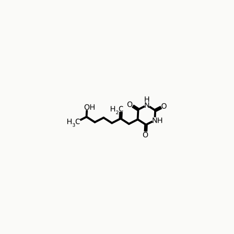 C=C(CCCC(C)O)CC1C(=O)NC(=O)NC1=O